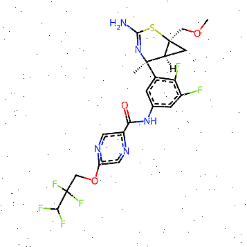 COC[C@]12C[C@H]1[C@@](C)(c1cc(NC(=O)c3cnc(OCC(F)(F)C(F)F)cn3)cc(F)c1F)N=C(N)S2